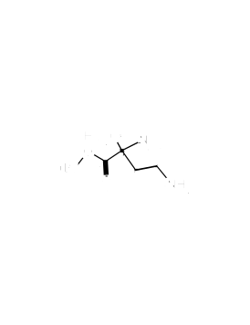 CC(C)(C)OC(=O)C(N)(CCN)C(=O)O